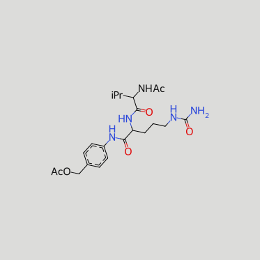 CC(=O)NC(C(=O)NC(CCCNC(N)=O)C(=O)Nc1ccc(COC(C)=O)cc1)C(C)C